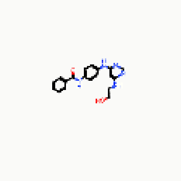 O=C(Nc1ccc(Nc2cc(NCCO)ncn2)cc1)c1ccccc1